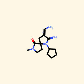 CN1CCC2(C/C(=C/N)C(=N)N2C2CCCC2)C1=O